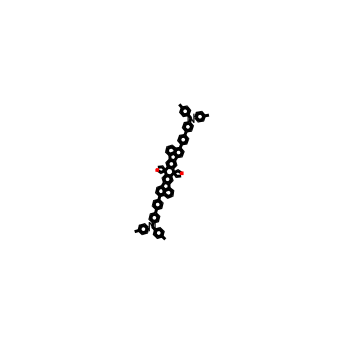 CCC1(CC)c2cc3c(cc2C(CC)(CC)c2cc4c(cc21)-c1ccc(-c2ccc(-c5ccc(N(c6ccc(C)cc6)c6ccc(C)cc6)cc5)cc2)c2cccc-4c12)-c1ccc(-c2ccc(-c4ccc(N(c5ccc(C)cc5)c5ccc(C)cc5)cc4)cc2)c2cccc-3c12